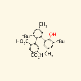 Cc1cc(-c2cc(C)cc(C(C)(C)C)c2-c2cc(C(=O)O)ccc2C(=O)O)c(O)c(C(C)(C)C)c1